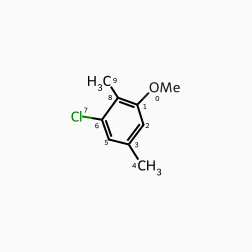 COc1cc(C)cc(Cl)c1C